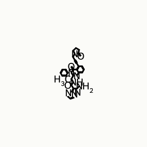 C[C@H](NC(=O)c1c(N)nn2cccnc12)c1nc2cccc(C#CCN3CCCC3=O)c2c(=O)n1-c1ccccc1